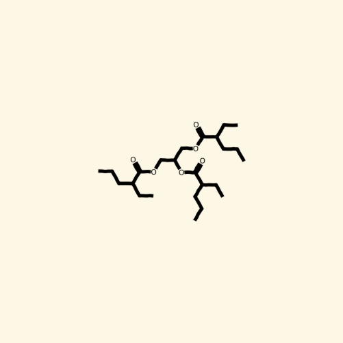 CCCC(CC)C(=O)OCC(COC(=O)C(CC)CCC)OC(=O)C(CC)CCC